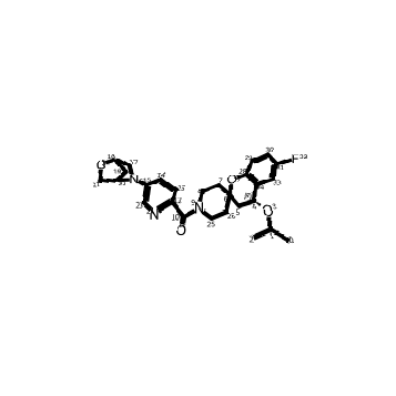 CC(C)O[C@@H]1CC2(CCN(C(=O)c3ccc(N4CC5CC4CO5)cn3)CC2)Oc2ccc(F)cc21